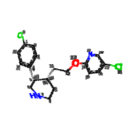 Clc1ccc([C@H]2CNCC[C@H]2CCOc2ccc(Cl)cn2)cc1